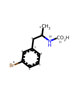 CC(Cc1cccc(Br)c1)NC(=O)O